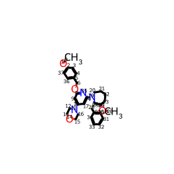 COc1ccc(COc2cc(N3CCOCC3)cc(N3CCCC[C@@H](OC)[C@@H]3Cc3ccccc3)n2)cc1